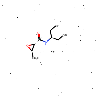 CC(C)COC[C@H](CC(C)C)NC(=O)[C@H]1O[C@@H]1C(=O)O.[Na]